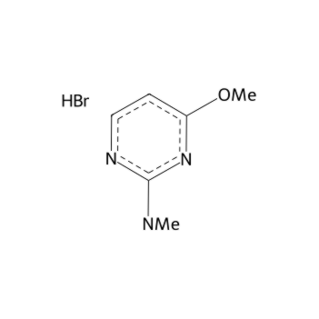 Br.CNc1nccc(OC)n1